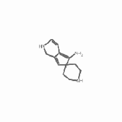 NC1=C2C=CNCC2=CC12CCNCC2